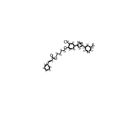 O=C(C=Cc1ccccc1)OCCCCOc1ccc(-c2nnc(-c3cncc(F)c3)s2)cc1Cl